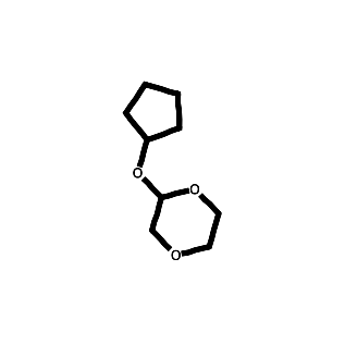 C1CCC(OC2COCCO2)C1